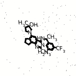 Cc1nc(N[C@H](C)c2cc(N)cc(C(F)(F)F)c2)c2cc(N3CC[C@@](C)(O)C3)c3c(c2n1)CCC3